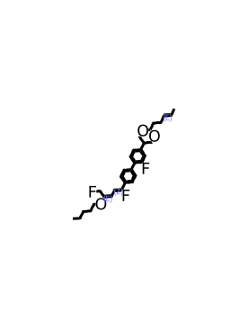 C/C=C/CCC1OCC(c2ccc(-c3ccc(/C(F)=C/C=C(\CF)OCCCCC)cc3)c(F)c2)CO1